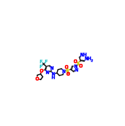 N=C/C(=C\N)S(=O)(=O)n1cc(S(=O)(=O)N2CCC(Nc3ncc(C(F)(F)F)c(O[C@H]4CCOC4)n3)CC2)cn1